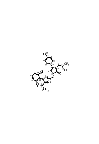 C[C@@H](O)c1nc(Cn2nc(-c3ccc(Cl)cc3)n(C[C@H](O)C(F)(F)F)c2=O)nn1-c1c(Cl)cccc1Cl